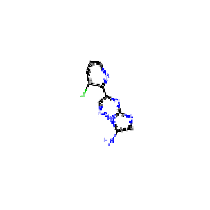 Nc1cnc2nc(-c3ncccc3Cl)cnn12